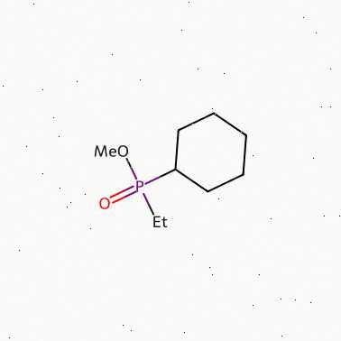 CCP(=O)(OC)C1CCCCC1